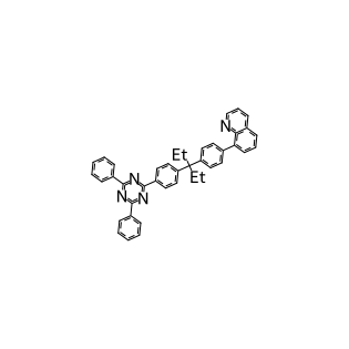 CCC(CC)(c1ccc(-c2nc(-c3ccccc3)nc(-c3ccccc3)n2)cc1)c1ccc(-c2cccc3cccnc23)cc1